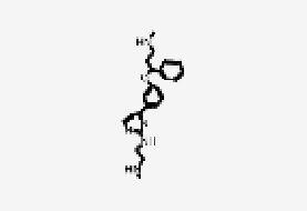 CNCCNc1nccc(-c2cccc(OC(CCNC)c3ccccc3)c2)n1